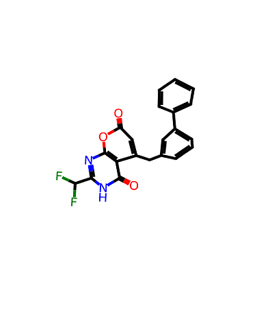 O=c1cc(Cc2cccc(-c3ccccc3)c2)c2c(=O)[nH]c(C(F)F)nc2o1